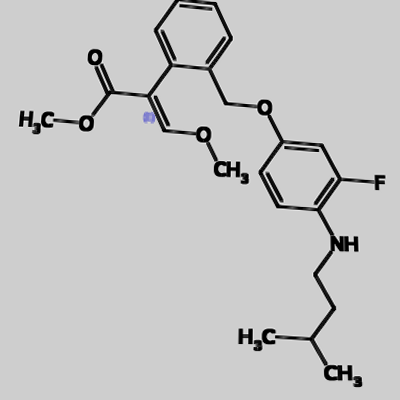 CO/C=C(/C(=O)OC)c1ccccc1COc1ccc(NCCC(C)C)c(F)c1